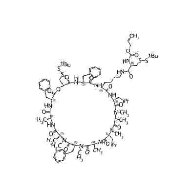 C=CCOC(=O)N[C@@H](CSSC(C)(C)C)C(=O)NCCCC[C@@H]1NC(=O)[C@H](Cc2ccccc2)NC(=O)C(CSSC(C)(C)C)OC(=O)[C@H](Cc2ccccc2)NC(=O)[C@H](C)NC(=O)[C@H](C)N(C)C(=O)[C@H](Cc2ccccc2)N(C)C(=O)[C@H](C)NC(=O)[C@H](CC(C)C)N(C)C(=O)[C@H](C)N(C)C(=O)[C@H](CC(C)C)NC1=O